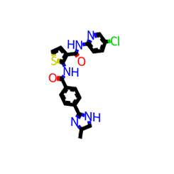 CC1CNC(c2ccc(C(=O)Nc3sccc3C(=O)Nc3ccc(Cl)cn3)cc2)=N1